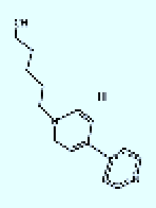 CCCCCCN1C=CC(c2ccncc2)=CC1.I